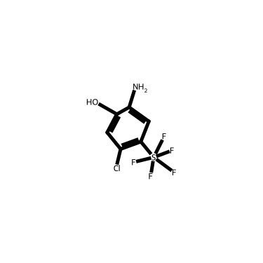 Nc1cc(S(F)(F)(F)(F)F)c(Cl)cc1O